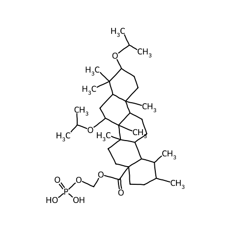 CC(C)OC1CCC2(C)C(CC(OC(C)C)C3(C)C2CCC2C4C(C)C(C)CCC4(C(=O)OCOP(=O)(O)O)CCC23C)C1(C)C